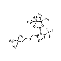 CC1(C)OB(c2c(C(F)(F)F)cnn2COCC[Si](C)(C)C)OC1(C)C